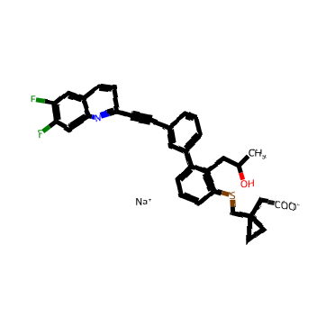 CC(O)Cc1c(SCC2(CC(=O)[O-])CC2)cccc1-c1cccc(C#Cc2ccc3cc(F)c(F)cc3n2)c1.[Na+]